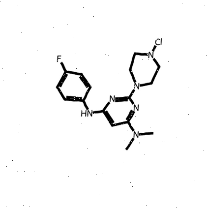 CN(C)c1cc(Nc2ccc(F)cc2)nc(N2CCN(Cl)CC2)n1